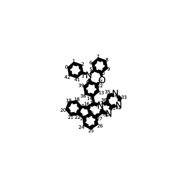 c1ccc(N2c3ccccc3Oc3cc(-c4c5c6ccccc6c6cccc(c65)c5nc6ncncc6n45)ccc32)cc1